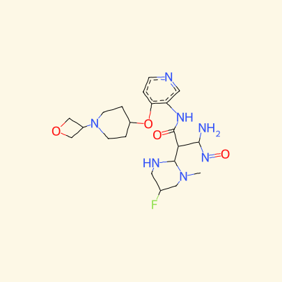 CN1CC(F)CNC1C(C(=O)Nc1cnccc1OC1CCN(C2COC2)CC1)C(N)N=O